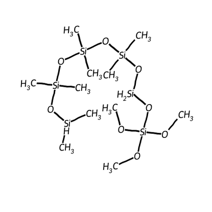 CO[Si](OC)(OC)O[SiH2]O[Si](C)(C)O[Si](C)(C)O[Si](C)(C)O[SiH](C)C